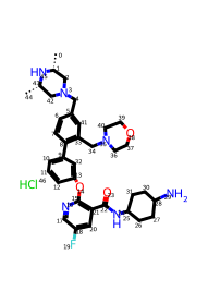 C[C@@H]1CN(Cc2ccc(-c3cccc(Oc4ncc(F)cc4C(=O)NC4CCC(N)CC4)c3)c(CN3CCOCC3)c2)C[C@H](C)N1.Cl